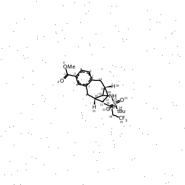 COC(=O)c1ccc2c(c1)C[C@H]1CC[C@@H](C2)[C@@]1(CNCC(F)(F)F)NS(=O)(=O)C(C)(C)C